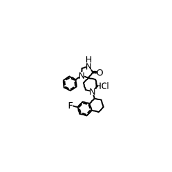 Cl.O=C1NCN(c2ccccc2)C12CCN(C1CCCc3ccc(F)cc31)CC2